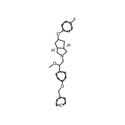 COC(CN1C[C@H]2CC(Oc3ccc(F)cc3)C[C@H]2C1)c1ccc(OCc2ccccc2)cc1